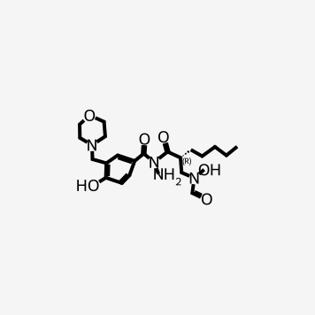 CCCCC[C@H](CN(O)C=O)C(=O)N(N)C(=O)c1ccc(O)c(CN2CCOCC2)c1